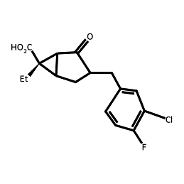 CC[C@]1(C(=O)O)C2CC(Cc3ccc(F)c(Cl)c3)C(=O)C21